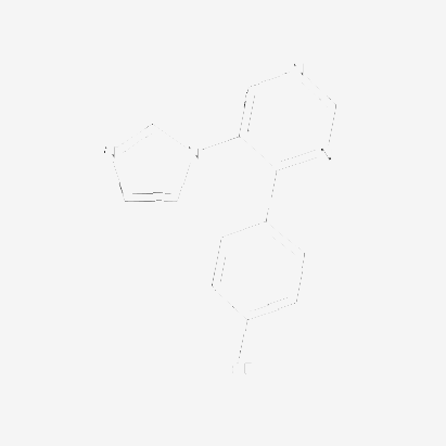 FC(F)(F)c1ccc(-c2n[c]ncc2-n2ccnc2)cc1